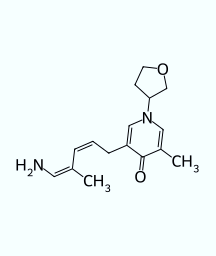 CC(/C=C\Cc1cn(C2CCOC2)cc(C)c1=O)=C/N